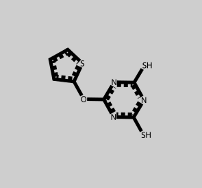 Sc1nc(S)nc(Oc2cccs2)n1